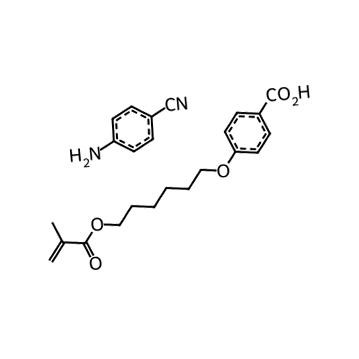 C=C(C)C(=O)OCCCCCCOc1ccc(C(=O)O)cc1.N#Cc1ccc(N)cc1